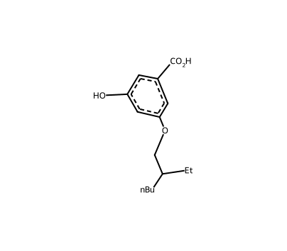 CCCCC(CC)COc1cc(O)cc(C(=O)O)c1